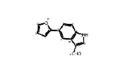 O=Cc1c[nH]c2ccc(-c3ccco3)cc12